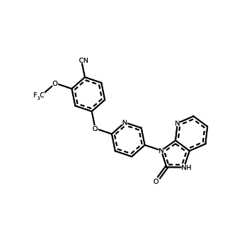 N#Cc1ccc(Oc2ccc(-n3c(=O)[nH]c4cccnc43)cn2)cc1OC(F)(F)F